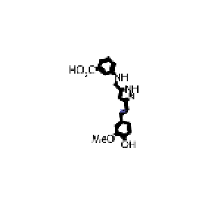 COc1cc(/C=C/c2cc(CNc3cccc(C(=O)O)c3)[nH]n2)ccc1O